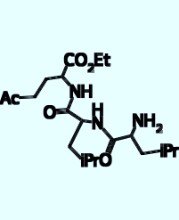 CCOC(=O)C(CCC(C)=O)NC(=O)C(CC(C)C)NC(=O)C(N)CC(C)C